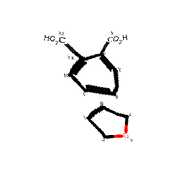 C1CCOC1.O=C(O)c1ccccc1C(=O)O